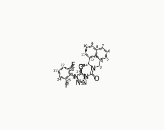 O=C(N1Cc2cccc3cccc(c23)C1)n1nnn(-c2c(F)cccc2F)c1=O